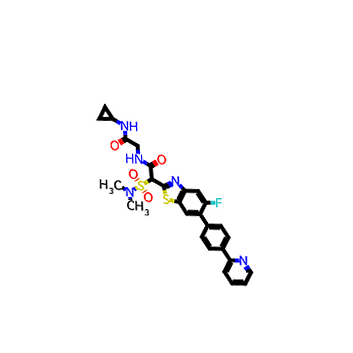 CN(C)S(=O)(=O)C(C(=O)NCC(=O)NC1CC1)c1nc2cc(F)c(-c3ccc(-c4ccccn4)cc3)cc2s1